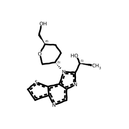 C[C@H](O)c1nc2cnc3ccsc3c2n1[C@H]1CC[C@H](CO)OC1